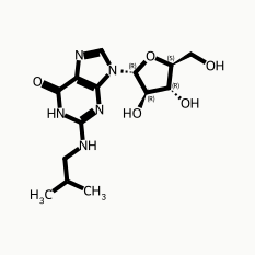 CC(C)CNc1nc2c(ncn2[C@@H]2O[C@@H](CO)[C@H](O)[C@H]2O)c(=O)[nH]1